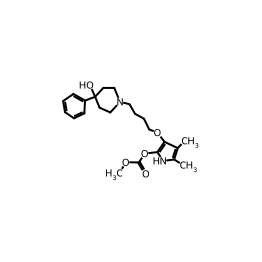 COC(=O)Oc1[nH]c(C)c(C)c1OCCCCN1CCC(O)(c2ccccc2)CC1